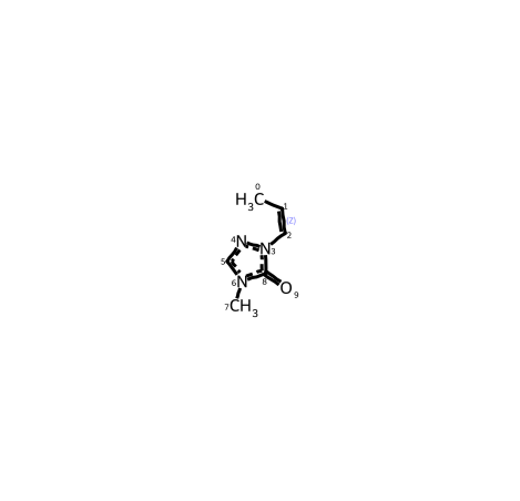 C/C=C\n1ncn(C)c1=O